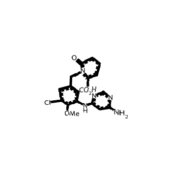 COc1c(Cl)cc(Cn2c(C(=O)O)cccc2=O)cc1Nc1cc(N)ncn1